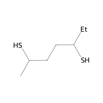 [CH2]CC(S)CCC(C)S